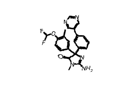 Cc1cc(C2(c3cccc(-c4cncnc4)c3)N=C(N)N(C)C2=O)ccc1OC(F)F